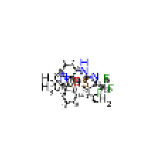 C=Cc1sc(Nc2cccnc2Oc2ccccc2C(C)(C)C)nc1C(F)(F)F